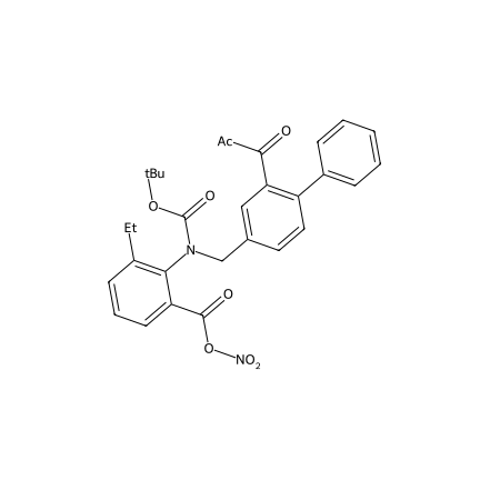 CCc1cccc(C(=O)O[N+](=O)[O-])c1N(Cc1ccc(-c2ccccc2)c(C(=O)C(C)=O)c1)C(=O)OC(C)(C)C